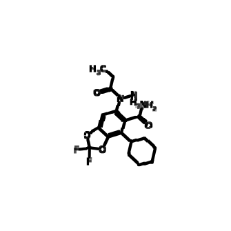 CCC(=O)N(N)c1cc2c(c(C3CCCCC3)c1C(N)=O)OC(F)(F)O2